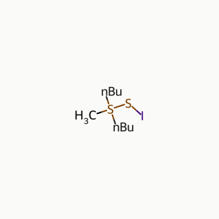 CCCCS(C)(CCCC)SI